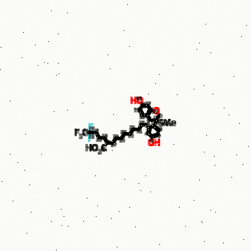 CS[C@]1(c2ccc(O)cc2)COc2cc(O)ccc2[C@H]1CCCCCCCCC[C@H](CCCC(F)(F)C(F)(F)F)C(=O)O